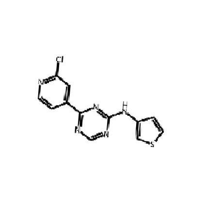 Clc1cc(-c2ncnc(Nc3ccsc3)n2)ccn1